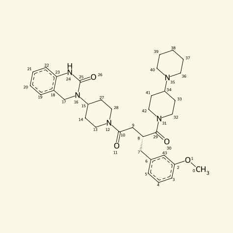 COc1cccc(C[C@H](CC(=O)N2CCC(N3Cc4ccccc4NC3=O)CC2)C(=O)N2CCC(N3CCCCC3)CC2)c1